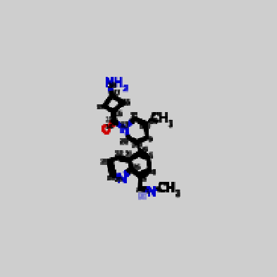 C/N=C\c1ccc([C@@H]2C[C@@H](C)CN(C(=O)C3CC(N)C3)C2)c2cccnc12